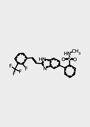 CNS(=O)(=O)c1ccccc1-c1ccc2[nH]c(/C=C/c3cccc(C(F)(F)F)c3F)nc2c1